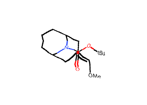 COC=C1CC2CCCC(C1)N2C(=O)OC(C)(C)C